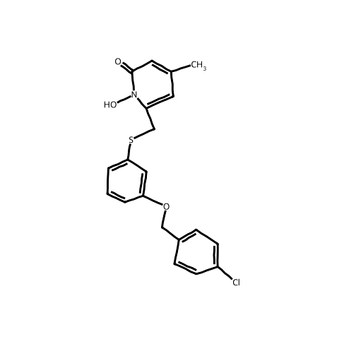 Cc1cc(CSc2cccc(OCc3ccc(Cl)cc3)c2)n(O)c(=O)c1